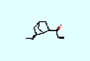 C=CC(=O)C1CC2CC(=CC)C1C2